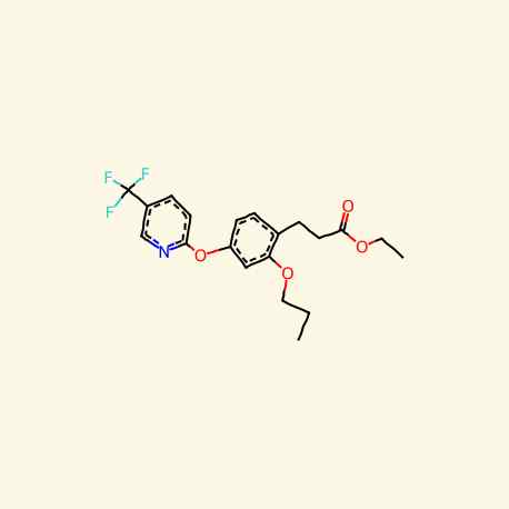 CCCOc1cc(Oc2ccc(C(F)(F)F)cn2)ccc1CCC(=O)OCC